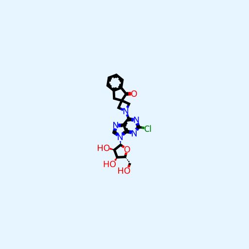 O=C1c2ccccc2CC12CN(c1nc(Cl)nc3c1ncn3[C@@H]1O[C@H](CO)[C@@H](O)[C@H]1O)C2